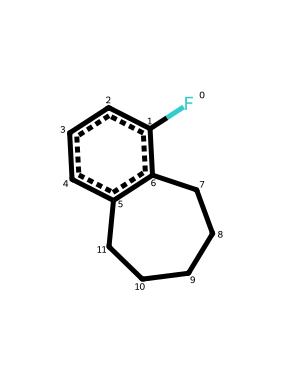 Fc1cccc2c1CCCCC2